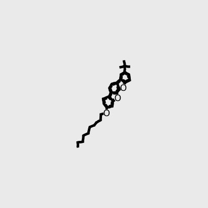 CCCCCCCCCCOc1ccc2c(c1)oc1c2ccc2c3cc(C(C)(C)C)ccc3oc21